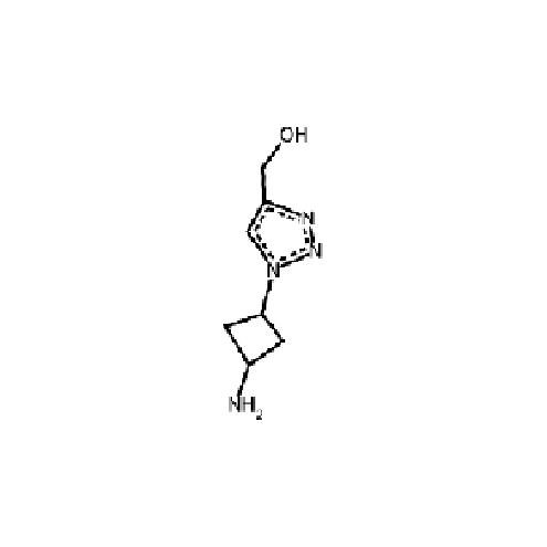 NC1CC(n2cc(CO)nn2)C1